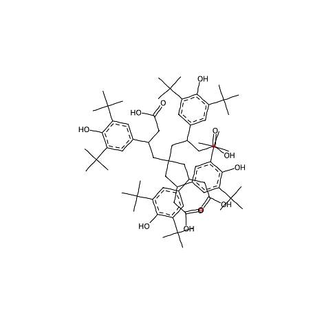 CC(C)(C)c1cc(C(CC(=O)O)CC(CC(CC(=O)O)c2cc(C(C)(C)C)c(O)c(C(C)(C)C)c2)(CC(CC(=O)O)c2cc(C(C)(C)C)c(O)c(C(C)(C)C)c2)CC(CC(=O)O)c2cc(C(C)(C)C)c(O)c(C(C)(C)C)c2)cc(C(C)(C)C)c1O